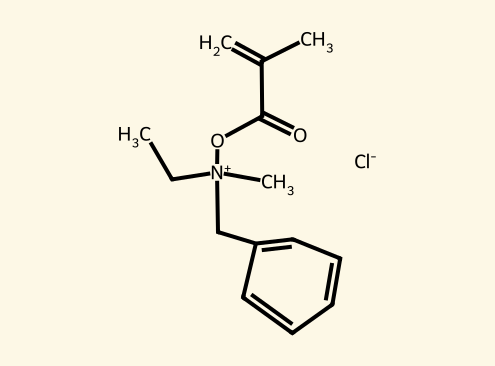 C=C(C)C(=O)O[N+](C)(CC)Cc1ccccc1.[Cl-]